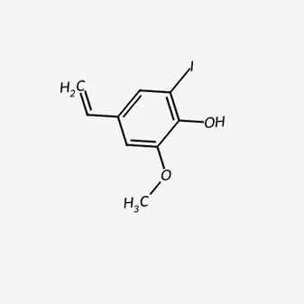 C=Cc1cc(I)c(O)c(OC)c1